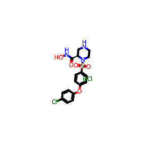 Cl.O=C(NO)[C@H]1CNCCN1S(=O)(=O)c1ccc(Oc2ccc(Cl)cc2)cc1